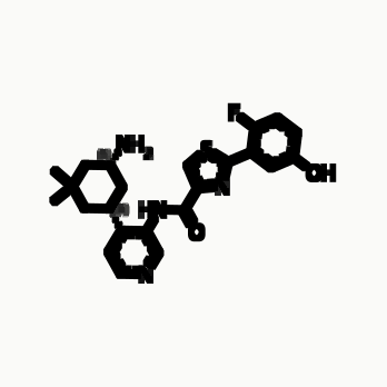 CC1(C)C[C@H](N)C[C@H](c2ccncc2NC(=O)c2csc(-c3cc(O)ccc3F)n2)C1